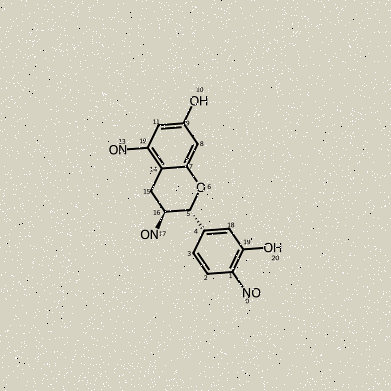 O=Nc1ccc([C@H]2Oc3cc(O)cc(N=O)c3C[C@@H]2N=O)cc1O